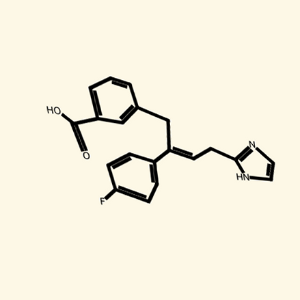 O=C(O)c1cccc(C/C(=C\Cc2ncc[nH]2)c2ccc(F)cc2)c1